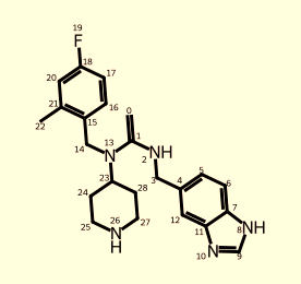 C=C(NCc1ccc2[nH]cnc2c1)N(Cc1ccc(F)cc1C)C1CCNCC1